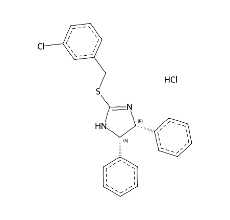 Cl.Clc1cccc(CSC2=N[C@H](c3ccccc3)[C@H](c3ccccc3)N2)c1